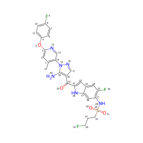 Cc1cc(Oc2ccc(F)cc2)ncc1-n1ncc(C(=O)c2cc3cc(F)c(NS(=O)(=O)CCCF)cc3[nH]2)c1N